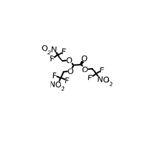 O=C(OCC(F)(F)[N+](=O)[O-])C(OCC(F)(F)[N+](=O)[O-])OCC(F)(F)[N+](=O)[O-]